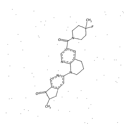 CC1Cc2cc(N3CCCc4cc(C(=O)N5CCC(C)(F)CC5)cnc43)ncc2C1=O